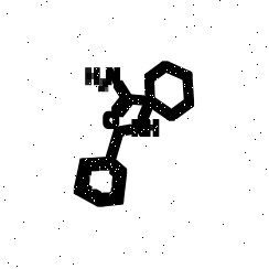 NC(=O)C1(NCc2ccccc2)CCCCC1